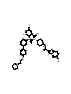 O=C(N[C@H]1CC[C@@H](n2c(=O)c3cc(F)cnc3n(-c3cccc(-c4ccc(OCCN5CCCC5)cc4)c3)c2=O)CC1)c1cn2cc(F)ccc2n1